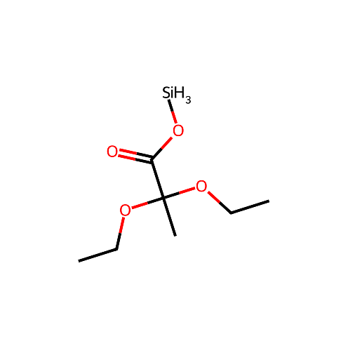 CCOC(C)(OCC)C(=O)O[SiH3]